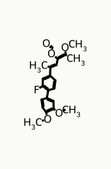 CO/C(C)=C(/C=C(\C)c1ccc(-c2ccc(OC)c(OC)c2)c(F)c1)OC=O